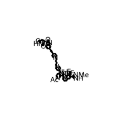 CN/C=C(\C=N)c1cc2c(cc1C(F)F)N(C(=N)C1=C(NC3CCN(CCCCN4CCC(C#Cc5ccc6c(c5)n(C)c(=O)n6C5CCC(=O)NC5=O)CC4)CC3)CCN(C(C)=O)C1)CCC2